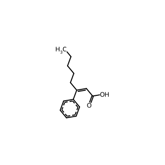 CCCCC/C(=C/C(=O)O)c1ccccc1